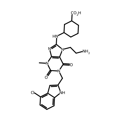 Cn1c(=O)n(Cc2cc3c(Cl)cccc3[nH]2)c(=O)c2c1nc(NC1CCCC(C(=O)O)C1)n2CCN